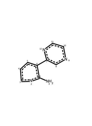 Nc1ncccc1-c1cnccn1